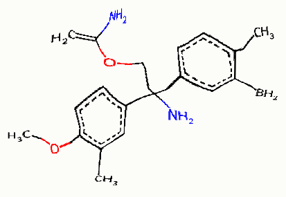 Bc1cc(C(N)(COC(=C)N)c2ccc(OC)c(C)c2)ccc1C